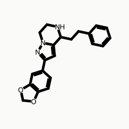 c1ccc(CCC2NCCn3nc(-c4ccc5c(c4)OCO5)cc32)cc1